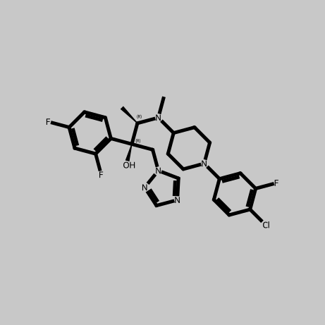 C[C@@H](N(C)C1CCN(c2ccc(Cl)c(F)c2)CC1)[C@](O)(Cn1cncn1)c1ccc(F)cc1F